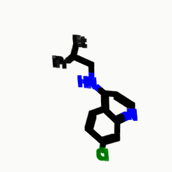 CCC(CNc1ccnc2cc(Cl)ccc12)C(C)C